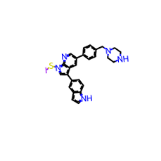 ISn1cc(-c2ccc3[nH]ccc3c2)c2cc(-c3ccc(CN4CCNCC4)cc3)cnc21